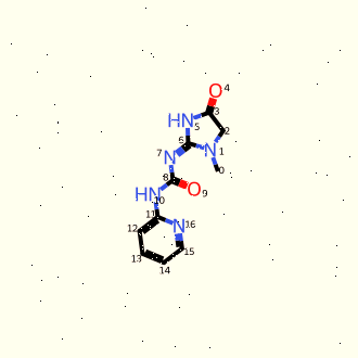 CN1CC(=O)NC1=NC(=O)Nc1ccccn1